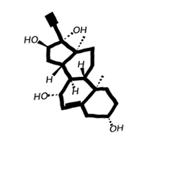 C#C[C@]1(O)[C@H](O)C[C@H]2[C@@H]3[C@@H](O)C=C4C[C@@H](O)CC[C@]4(C)[C@H]3CC[C@@]21C